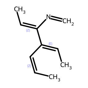 C=NC(=C\C)/C(/C=C\C)=C/C